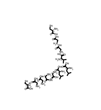 CC(C)C[C@H](N)C(=O)O.CC(C)C[C@H](N)C(=O)O.CC(C)[C@H](N)C(=O)O.C[C@H](N)C(=O)O.C[C@H](N)C(=O)O.NCC(=O)O.NCC(=O)O.NCC(=O)O.NCC(=O)O.N[C@@H](CS)C(=O)O.N[C@@H](CS)C(=O)O